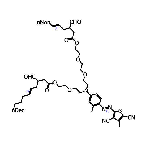 CCCCCCCCC/C=C/CC(C=O)CC(=O)OCCOCCOCCN(CCOCCOC(=O)CC(C=O)C/C=C/CCCCCCCCCCCCC)c1ccc(/N=N/c2sc(C#N)c(C)c2C#N)c(C)c1